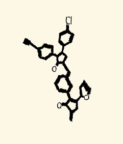 C#Cc1ccc(C2=C(c3ccc(Cl)cc3)C/C(=C/c3cccc(C4=C(c5ccco5)CC(=C)C4=O)c3)C2=O)cc1